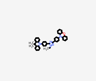 CCn1nc(-c2ccc(N3c4ccccc4Oc4ccccc43)cc2)nc1-c1ccc(N2c3ccccc3C(C)(C)c3ccccc32)cc1